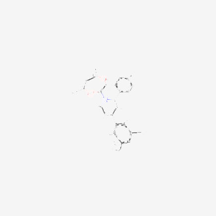 CC1=CC(C)OC(N2C=CC(c3cc(C)cc(C)c3)=CC2c2ccccc2)=CO1